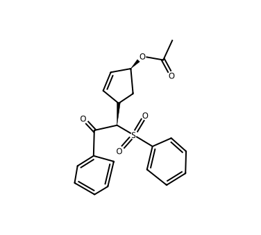 CC(=O)O[C@@H]1C=CC([C@H](C(=O)c2ccccc2)S(=O)(=O)c2ccccc2)C1